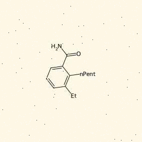 CCCCCc1c(CC)cccc1C(N)=O